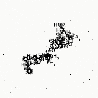 Cc1c(-c2ccc(N3CCC4C=NC=C(C(=O)Nc5nc6ccccc6s5)C4C3)nc2C(=O)O)cnn1CC12CC3(C)CC(C)(C1)CC(OCCN(CCC(N)=O)C(=O)OCc1ccc(NC(=O)[C@H](C)NC(=O)[C@@H](NC(=O)CNC(=O)CCC(=O)O)C(C)C)cc1CC[C@@H]1O[C@H](C(=O)O)[C@@H](O)[C@H](O)[C@H]1O)(C3)C2